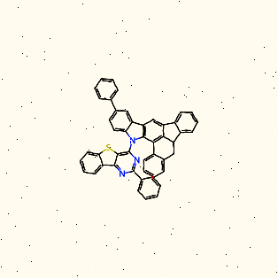 c1ccc(-c2ccc3c(c2)c2cc4c5c(c2n3-c2nc(-c3ccccc3)nc3c2sc2ccccc23)-c2ccccc2CC5c2ccccc2-4)cc1